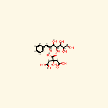 O=C(O)CC(O)(CC(=O)O)C(=O)O.OCC(O)C(O)C(O)C(O)C(O)=Cc1ccccc1